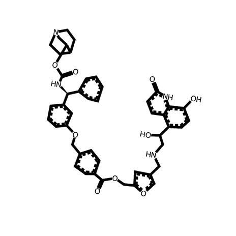 O=C(N[C@@H](c1ccccc1)c1cccc(OCc2ccc(C(=O)OCc3cc(CNCC(O)c4ccc(O)c5[nH]c(=O)ccc45)co3)cc2)c1)OC1CN2CCC1CC2